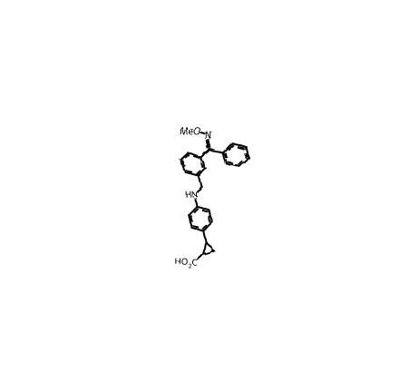 CO/N=C(/c1ccccc1)c1cccc(CNc2ccc(C3CC3C(=O)O)cc2)c1